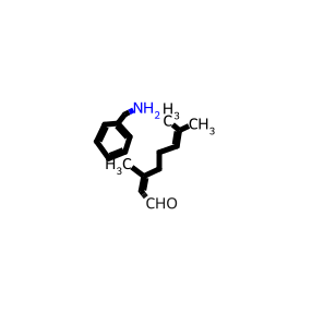 CC(C)=CCCC(C)=CC=O.NCc1ccccc1